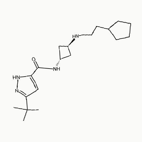 CC(C)(C)c1cc(C(=O)N[C@H]2C[C@H](NCCC3CCCC3)C2)[nH]n1